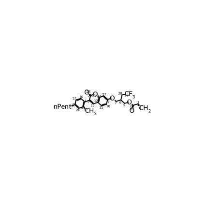 C=CC(=O)OCC(COc1ccc2cc(-c3ccc(CCCCC)cc3C)c(=O)oc2c1)CC(F)(F)F